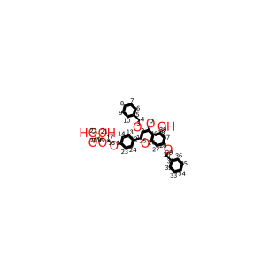 O=c1c(OCc2ccccc2)c(-c2ccc(OCOP(=O)(O)O)cc2)oc2cc(OCc3ccccc3)cc(O)c12